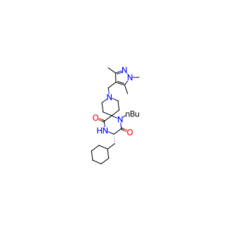 CCCCN1C(=O)[C@H](CC2CCCCC2)NC(=O)C12CCN(Cc1c(C)nn(C)c1C)CC2